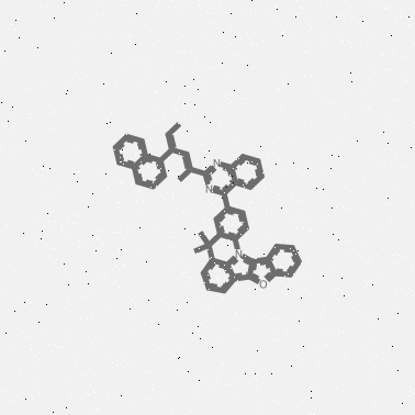 C/C=C(\C=C(/C)c1nc(-c2ccc3c(c2)C(C)(C)c2cccc4c5oc6ccccc6c5n-3c24)c2ccccc2n1)c1cccc2ccccc12